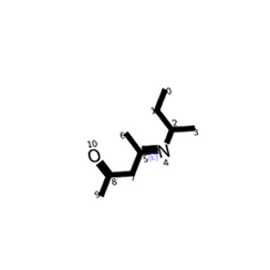 CCC(C)/N=C(\C)CC(C)=O